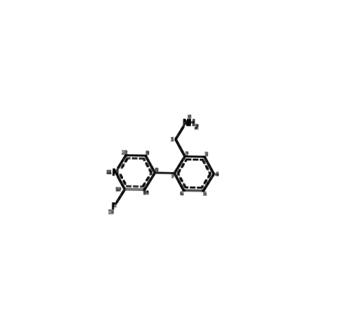 NCc1ccccc1-c1ccnc(F)c1